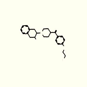 O=C(c1ccc(OCCF)cc1)C1CCN(C2Cc3ccccc3CC2O)CC1